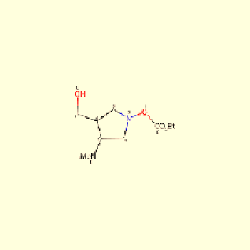 CCOC(=O)ON1CC(CO)C(NC)C1